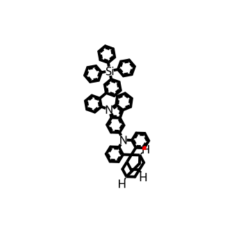 c1ccc([Si](c2ccccc2)(c2ccccc2)c2cccc(-c3ccccc3-n3c4ccccc4c4cc(N5c6ccccc6C6(c7ccccc75)C5C[C@H]7C[C@@H](C5)C[C@@H]6C7)ccc43)c2)cc1